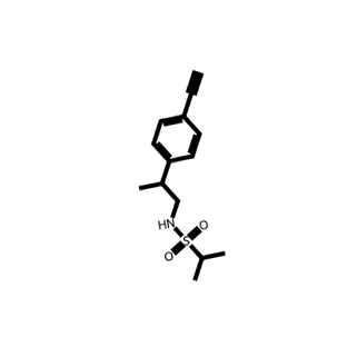 C#Cc1ccc(C(C)CNS(=O)(=O)C(C)C)cc1